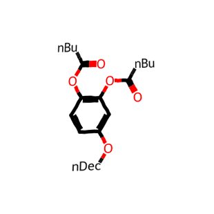 CCCCCCCCCCOc1ccc(OC(=O)CCCC)c(OC(=O)CCCC)c1